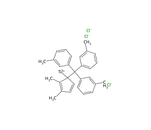 CC1=C(C)[C]([Ti+3])(C(c2cccc(C)c2)(c2cccc(C)c2)c2cccc(C)c2)C=C1.[Cl-].[Cl-].[Cl-]